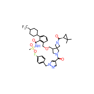 CC1(C)C[C@@H]1C(=O)N1CC2(CN(C(=O)c3cnn(Cc4ccc(F)cc4)c3)CC2COCc2cccc(C3CCC(C(F)(F)F)CC3)c2C(=O)NS(C)(=O)=O)C1